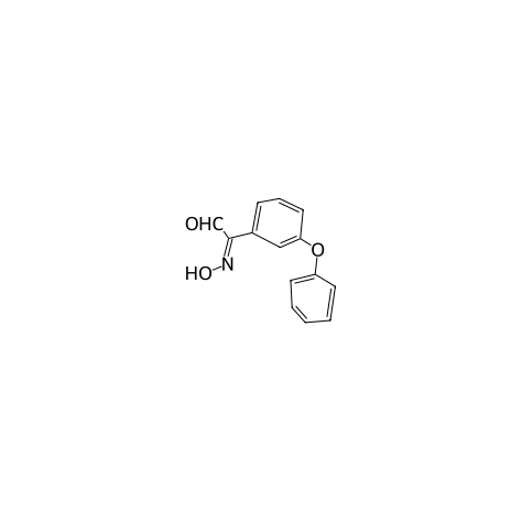 O=CC(=NO)c1cccc(Oc2ccccc2)c1